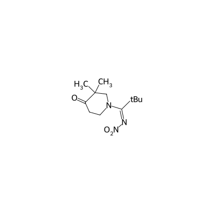 CC1(C)CN(/C(=N\[N+](=O)[O-])C(C)(C)C)CCC1=O